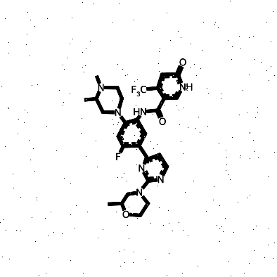 CC1CN(c2nccc(-c3cc(NC(=O)c4c[nH]c(=O)cc4C(F)(F)F)c(N4CCN(C)C(C)C4)cc3F)n2)CCO1